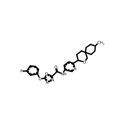 CC1CCC2(CC1)CCC(c1ccc(NC(=O)c3nnc(Oc4cccc(F)c4)o3)cn1)OC2